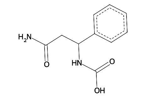 NC(=O)CC(NC(=O)O)c1ccccc1